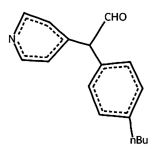 CCCCc1ccc(C(C=O)c2ccncc2)cc1